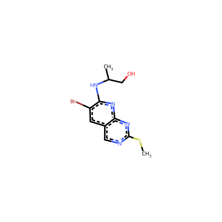 CSc1ncc2cc(Br)c(NC(C)CO)nc2n1